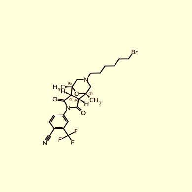 C[C@]12CN(CCCCCCBr)C[C@](C)(O1)[C@H]1C(=O)N(c3ccc(C#N)c(C(F)(F)F)c3)C(=O)[C@H]12